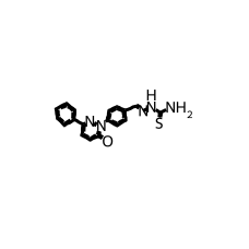 NC(=S)NN=Cc1ccc(-n2nc(-c3ccccc3)ccc2=O)cc1